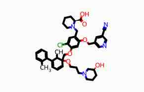 Cc1ccccc1C1=CC=CC(COc2cc(OCc3cncc(C#N)c3)c(CN3CCCC[C@H]3C(=O)O)cc2Cl)(OCCCN2CCC[C@H](O)C2)C1C